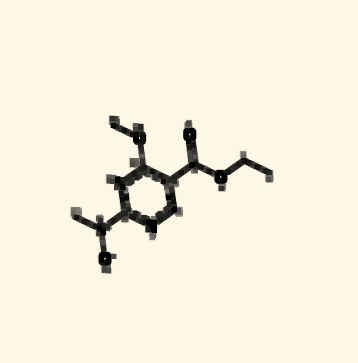 CCOC(=O)c1cnc([S+](C)[O-])nc1OC